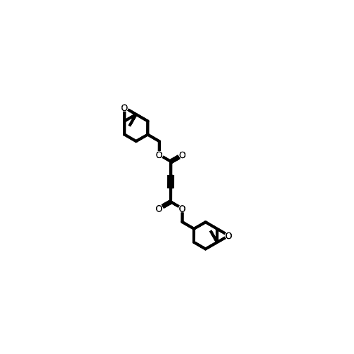 CC12CCC(COC(=O)C#CC(=O)OCC3CCC4OC4(C)C3)CC1O2